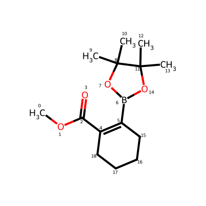 COC(=O)C1=C(B2OC(C)(C)C(C)(C)O2)CCCC1